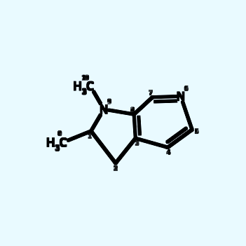 CC1Cc2ccncc2N1C